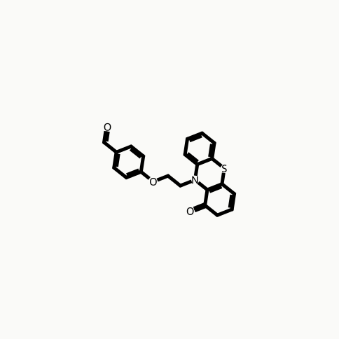 O=Cc1ccc(OCCN2C3=C(C=CCC3=O)Sc3ccccc32)cc1